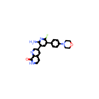 Nc1nc(F)c(-c2ccc(N3CCOCC3)cc2)cc1-c1cnc2c(=O)[nH]ccc2c1